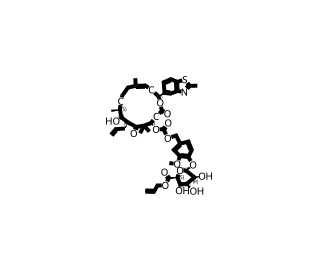 C=CCOC(=O)[C@H]1O[C@@H](Oc2ccc(COC(=O)O[C@H]3CC(=O)O[C@H](c4ccc5sc(C)nc5c4)CC=C(C)CCC[C@H](C)[C@H](O)[C@@H](CC=C)C(=O)C3(C)C)cc2OC)[C@H](O)[C@@H](O)[C@@H]1O